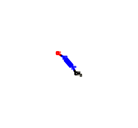 C[N+]#[N+][O-]